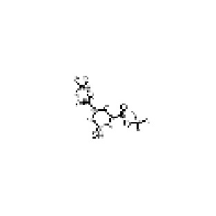 CC(C)(C)OC(=O)C1CC(S)CC(C(=O)OC(C)(C)C)C1